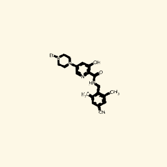 CCN1CCN(c2cnc(C(=O)NCc3c(C)cc(C#N)cc3C)c(O)c2)CC1